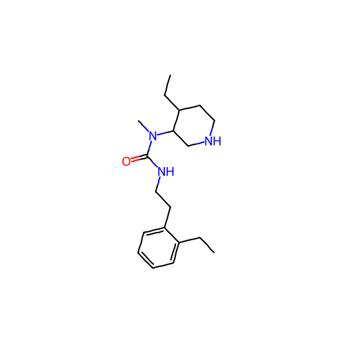 CCc1ccccc1CCNC(=O)N(C)C1CNCCC1CC